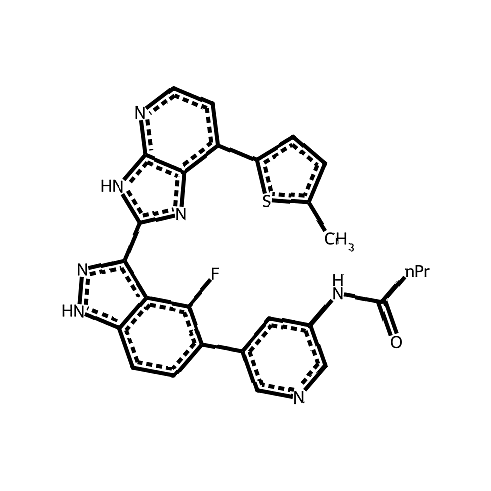 CCCC(=O)Nc1cncc(-c2ccc3[nH]nc(-c4nc5c(-c6ccc(C)s6)ccnc5[nH]4)c3c2F)c1